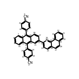 N#Cc1ccc(-c2c3ccccc3c(-c3ccc(C#N)cc3)c3cc(-c4ccc5ccc6ccccc6c5n4)ccc23)cc1